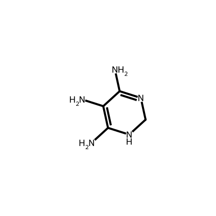 NC1=NCNC(N)=C1N